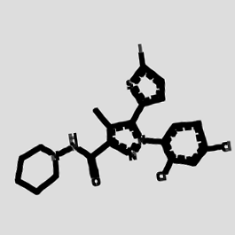 Cc1c(C(=O)NN2CCCCC2)nn(-c2ccc(Cl)cc2Cl)c1-c1ccc(I)s1